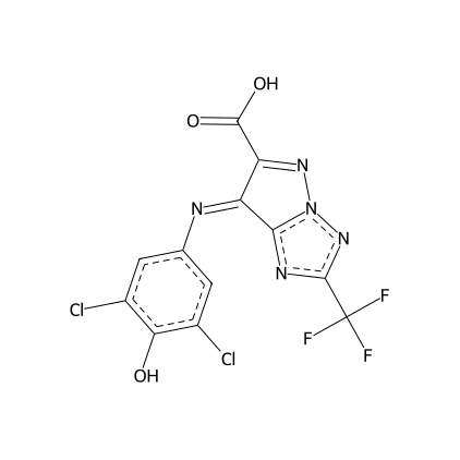 O=C(O)C1=Nn2nc(C(F)(F)F)nc2C1=Nc1cc(Cl)c(O)c(Cl)c1